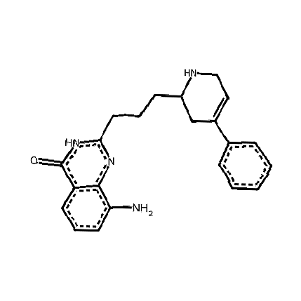 Nc1cccc2c(=O)[nH]c(CCCC3CC(c4ccccc4)=CCN3)nc12